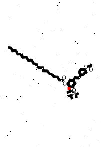 CCC=CCC=CCC=CCC=CCC=CCC=CCCC(=O)Oc1cc(/C=C/c2ccc(OC(C)=O)cc2)cc(O[Si](C(C)C)(C(C)C)C(C)C)c1